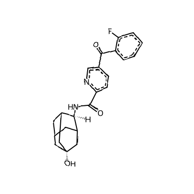 O=C(N[C@H]1C2CC3CC1C[C@](O)(C3)C2)c1ccc(C(=O)c2ccccc2F)cn1